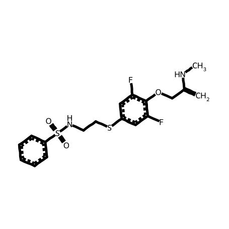 C=C(COc1c(F)cc(SCCNS(=O)(=O)c2ccccc2)cc1F)NC